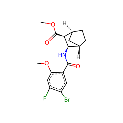 COC(=O)[C@H]1[C@H]2CC[C@@H](C2)[C@H]1NC(=O)c1cc(Br)c(F)cc1OC